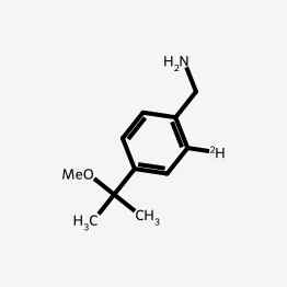 [2H]c1cc(C(C)(C)OC)ccc1CN